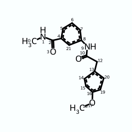 CNC(=O)c1cccc(NC(=O)Cc2ccc(OC)cc2)c1